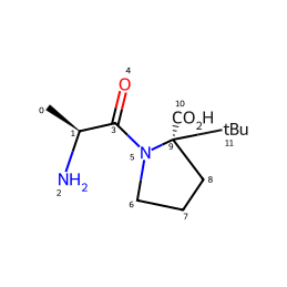 C[C@H](N)C(=O)N1CCC[C@]1(C(=O)O)C(C)(C)C